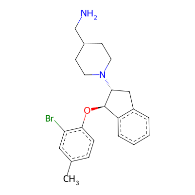 Cc1ccc(O[C@@H]2c3ccccc3C[C@H]2N2CCC(CN)CC2)c(Br)c1